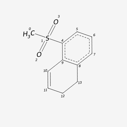 CS(=O)(=O)c1cccc2c1C=CCC2